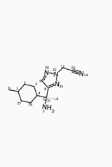 CC1CCC([C@](C)(N)c2cnn(CC#N)n2)CC1